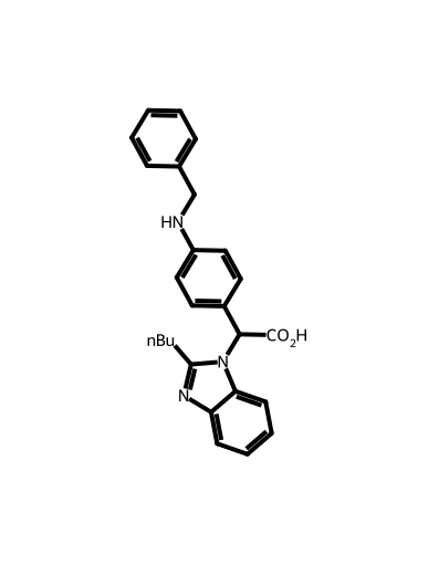 CCCCc1nc2ccccc2n1C(C(=O)O)c1ccc(NCc2ccccc2)cc1